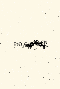 CCOC(=O)C(C)(C)Cn1ncc2cc(-c3noc(-c4ccc(OC(C)C)c(C#N)c4)n3)ccc21